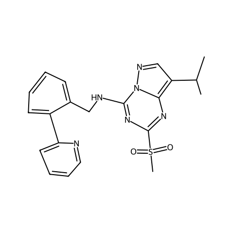 CC(C)c1cnn2c(NCc3ccccc3-c3ccccn3)nc(S(C)(=O)=O)nc12